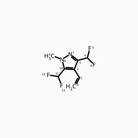 C=Cc1c(C(F)F)nn(C)c1C(F)F